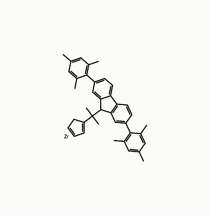 Cc1cc(C)c(-c2ccc3c(c2)C(C(C)(C)C2=CC=CC2)c2cc(-c4c(C)cc(C)cc4C)ccc2-3)c(C)c1.[Zr]